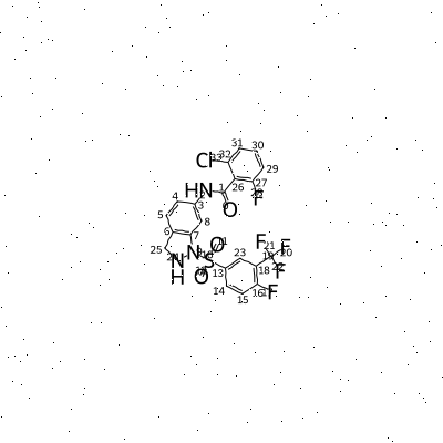 O=C(Nc1ccc2c(c1)N(S(=O)(=O)c1ccc(F)c(C(F)(F)F)c1)NC2)c1c(F)cccc1Cl